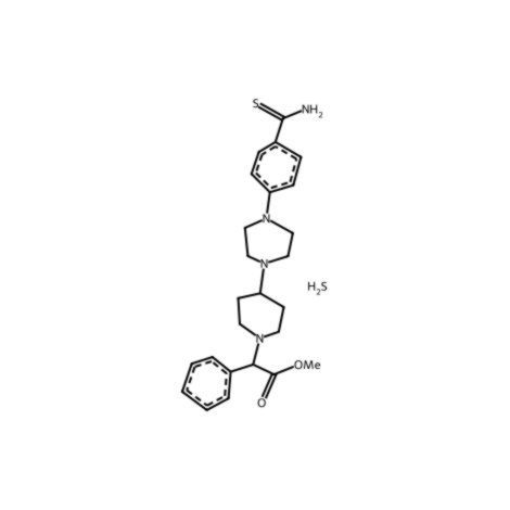 COC(=O)C(c1ccccc1)N1CCC(N2CCN(c3ccc(C(N)=S)cc3)CC2)CC1.S